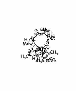 CC[C@H]1OC(=O)[C@H](C)[C@@H](O[C@H]2C[C@@](C)(OC)[C@@H](O)[C@H](C)O2)[C@H](C)[C@@H](O[C@@H]2O[C@H](C)C[C@H](N(C)C)[C@@H]2O)[C@](C)(OC)/C=C/C(=O)[C@H](C)[C@@H](O)[C@]1(C)O